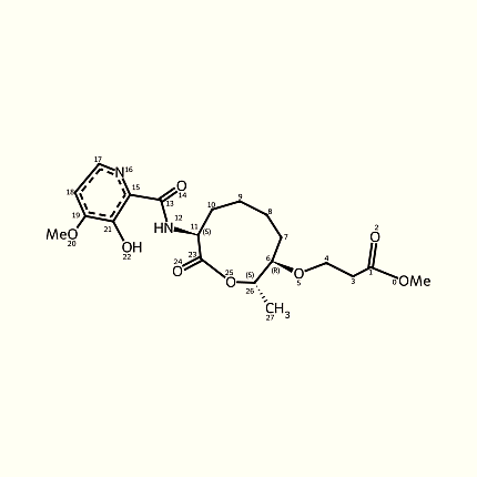 COC(=O)CCO[C@@H]1CCCC[C@H](NC(=O)c2nccc(OC)c2O)C(=O)O[C@H]1C